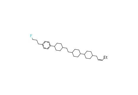 CC/C=C\CC1CCC(C2CCC(CCC3CCC(c4ccc(CCCF)cc4)CC3)CC2)CC1